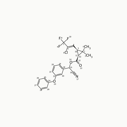 CC1(C)[C@H](C=C(Cl)C(F)(F)F)[C@@H]1C(=O)OC(C#N)c1cccc(Oc2ccccc2)c1